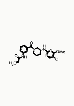 C=CC(=O)Nc1cccc(C(=O)N2CCC[C@@H](Nc3ncc(Cl)c(OC)n3)C2)c1